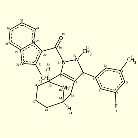 Cc1cc(F)cc(C2C3=C([C@@H]4CCC[C@H](C3)N4)N(C(=O)c3c(C)nc4ccccn34)N2C)c1